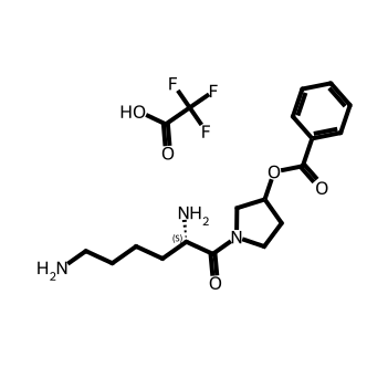 NCCCC[C@H](N)C(=O)N1CCC(OC(=O)c2ccccc2)C1.O=C(O)C(F)(F)F